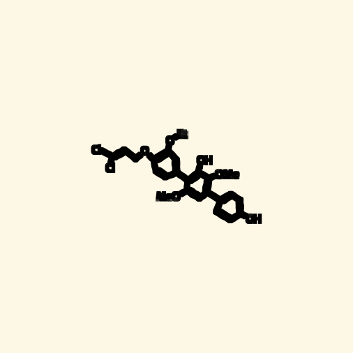 CCOc1cc(-c2c(OC)cc(-c3ccc(O)cc3)c(OC)c2O)ccc1OCC=C(Cl)Cl